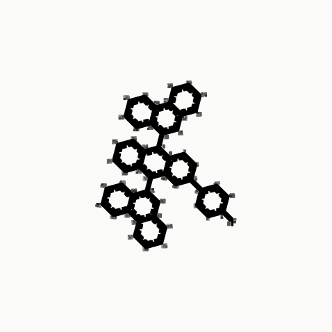 Fc1ccc(-c2ccc3c(-c4cc5ccccc5c5ccccc45)c4ccccc4c(-c4cc5ccccc5c5ccccc45)c3c2)cc1